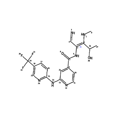 CN/C(=C(\C=N)NC(=O)c1ccnc(Nc2ccc(C(F)(F)F)cn2)c1)C(C)O